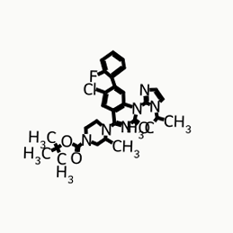 CC1CN(C(=O)OC(C)(C)C)CCN1c1nc(=O)n(-c2nccn2C(C)C)c2cc(-c3ccccc3F)c(Cl)cc12